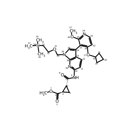 COC(=O)[C@@H]1C[C@H]1C(=O)Nc1ccc2c(-c3c(OC4CCC4)ccnc3OC)cn(COCC[Si](C)(C)C)c2n1